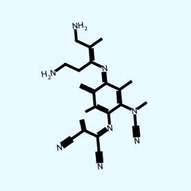 C=C(C#N)/C(C#N)=N\C1=C(C)C(=C)/C(=N\C(CCN)=C(/C)CN)C(C)=C1N(C)C#N